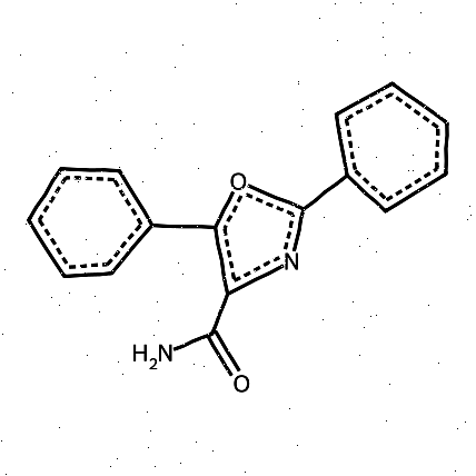 NC(=O)c1nc(-c2ccccc2)oc1-c1ccccc1